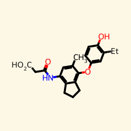 CCc1cc(Oc2c(C)cc(NC(=O)CC(=O)O)c3c2CCC3)ccc1O